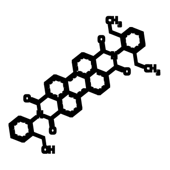 CCc1cccc(CC)c1N1C(=O)c2ccc3c4ccc5c6c(ccc(c7ccc(c2c37)C1=O)c64)C(=O)N(c1ccccc1CO)C5=O